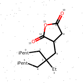 CCCC(C)CC(CC)(CC(C)CCC)CC1CC(=O)OC1=O